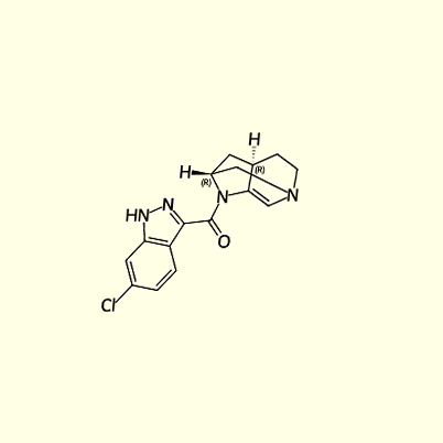 O=C(c1n[nH]c2cc(Cl)ccc12)N1C2=CN3CC[C@@H]2C[C@@H]1C3